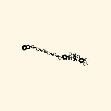 CC1(C)[C@H](NC(=O)c2ccc(OCCOCCOCCOCCOCCOC3Cc4ccccc4C3)cc2)C(C)(C)[C@H]1Oc1ccc(C#N)c(Cl)c1